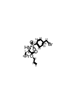 C=CCOC(=O)[C@H](CC(C)C)NS(=O)(=O)c1ccc(CBr)cc1